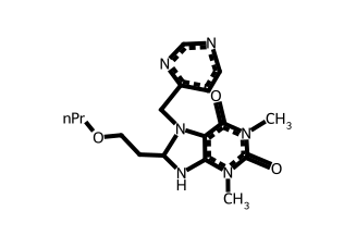 CCCOCCC1Nc2c(c(=O)n(C)c(=O)n2C)N1Cc1ccncn1